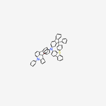 c1ccc(N2c3ccccc3C3(c4ccccc4)c4cc(N(c5ccc6c(c5)C(c5ccccc5)(c5ccccc5)c5ccccc5-6)c5ccc6c(c5)sc5ccccc56)ccc4-c4cccc2c43)cc1